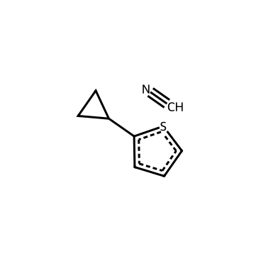 C#N.c1csc(C2CC2)c1